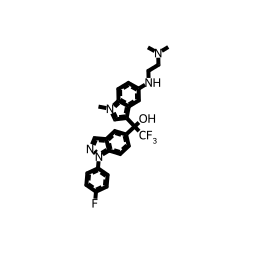 CN(C)CCNc1ccc2c(c1)c(C(O)(c1ccc3c(cnn3-c3ccc(F)cc3)c1)C(F)(F)F)cn2C